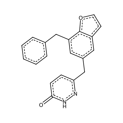 O=c1ccc(Cc2cc(Cc3ccccc3)c3occc3c2)n[nH]1